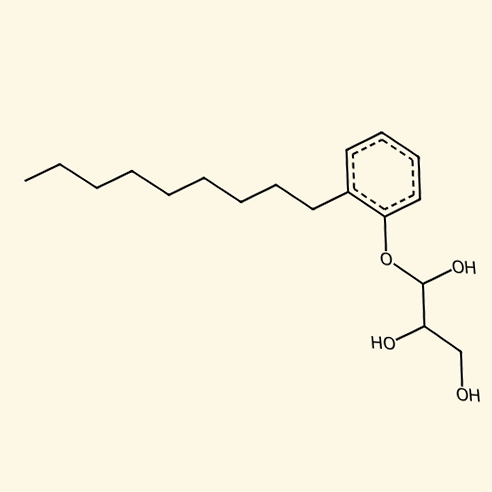 CCCCCCCCCc1ccccc1OC(O)C(O)CO